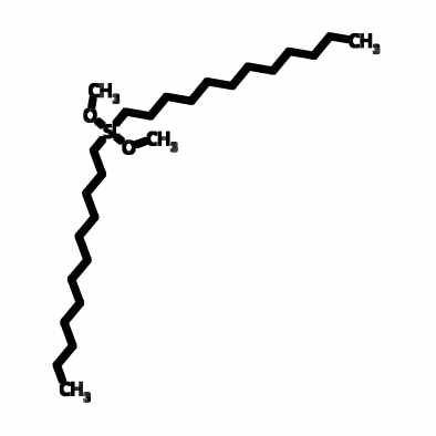 CCCCCCCCCCCC[Si](CCCCCCCCCCCC)(OC)OC